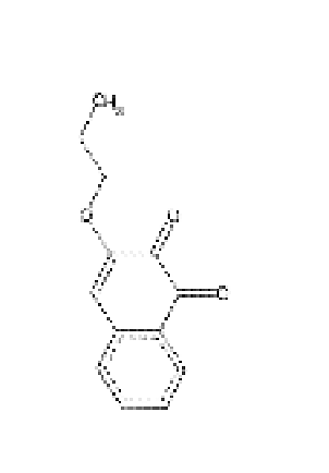 CCCOC1=Cc2ccccc2C(=O)C1=O